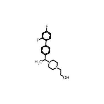 CC(c1ccc(-c2ccc(F)cc2F)cc1)N1CCN(CCO)CC1